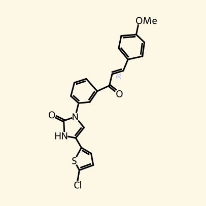 COc1ccc(/C=C/C(=O)c2cccc(-n3cc(-c4ccc(Cl)s4)[nH]c3=O)c2)cc1